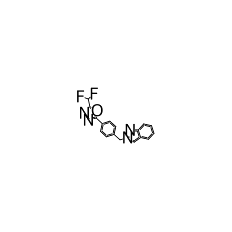 FC(F)c1nnc(-c2ccc(Cn3cc4ccccc4n3)cc2)o1